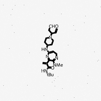 C=CC(CC=O)N1CCC(NC2=CCN=C(NC)C(C(=C)C(=O)NC(C)(C)C)=N2)CC1